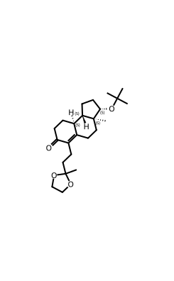 CC(C)(C)O[C@H]1CC[C@H]2[C@@H]3CCC(=O)C(CCC4(C)OCCO4)=C3CC[C@]12C